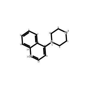 c1ccc2c(N3CC[N]CC3)ccnc2c1